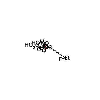 CCN(CC)CCCCCCCCCCOc1ccc(C2(c3ccccc3)OC(=O)CC(O)(C(=O)O)CC(=O)OC2(Cl)c2ccccc2)cc1